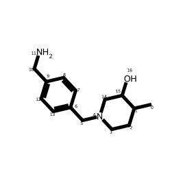 CC1CCN(Cc2ccc(CN)cc2)CC1O